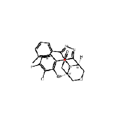 Cc1cccc(-c2nnc3n2C[C@@H]2COC[C@H]3N2C(=O)c2ccc(F)c(Cl)c2Cl)n1